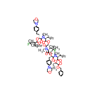 CN[C@@H](CC(C)(C)F)C(=O)O[C@H](CCc1ccc(N2CCOCC2)cc1)C(=O)N(C)[C@@H](CC(C)C)C(=O)O[C@H](C)C(=O)N(C)[C@@H](CC(C)(C)F)C(=O)O[C@H](Cc1ccc(N2CCOCC2)cc1)C(=O)N(C)[C@@H](CC(C)C)C(=O)O[C@H](C)C(=O)OCc1ccccc1